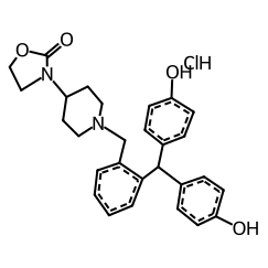 Cl.O=C1OCCN1C1CCN(Cc2ccccc2C(c2ccc(O)cc2)c2ccc(O)cc2)CC1